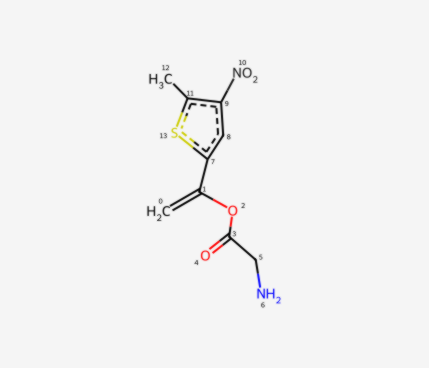 C=C(OC(=O)CN)c1cc([N+](=O)[O-])c(C)s1